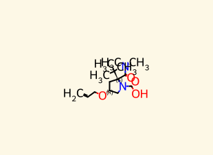 C=CCO[C@H]1CN(C(=O)O)[C@](C(=O)N(C)C)(C(C)(C)C)C1